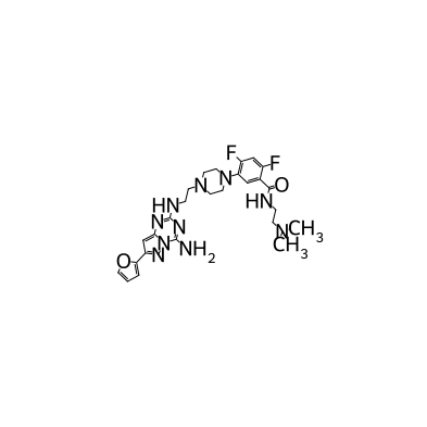 CN(C)CCNC(=O)c1cc(N2CCN(CCNc3nc(N)n4nc(-c5ccco5)cc4n3)CC2)c(F)cc1F